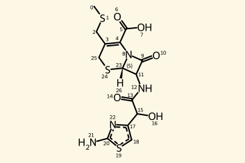 CSCC1=C(C(=O)O)N2C(=O)C(NC(=O)C(O)c3csc(N)n3)[C@@H]2SC1